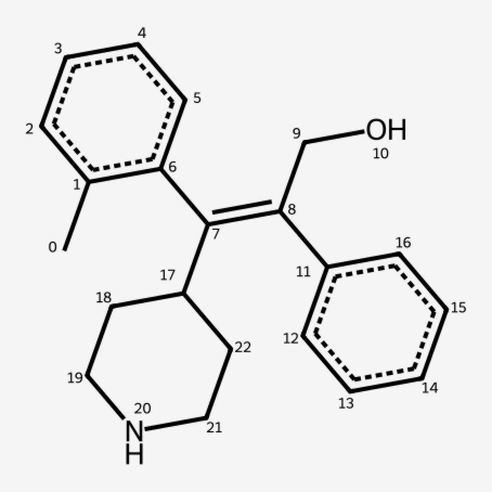 Cc1ccccc1/C(=C(\CO)c1ccccc1)C1CCNCC1